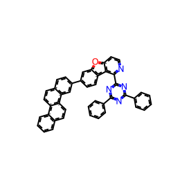 c1ccc(-c2nc(-c3ccccc3)nc(-c3nccc4oc5cc(-c6ccc7ccc8c9ccccc9ccc8c7c6)ccc5c34)n2)cc1